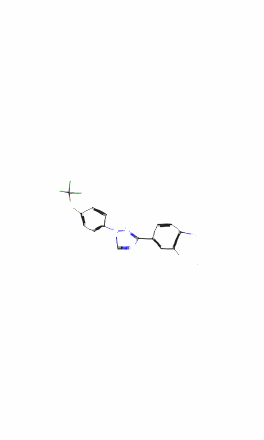 Cc1cc(-c2ncn(-c3ccc(SC(F)(F)F)cc3)n2)ccc1N